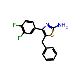 Nc1nc(-c2ccc(F)c(F)c2)c(Cc2ccccc2)s1